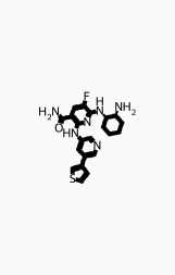 NC(=O)c1cc(F)c(N[C@@H]2CCCC[C@@H]2N)nc1Nc1cncc(-c2ccsc2)c1